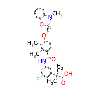 Cc1c(OC[C@@H]2CN(C)c3ccccc3O2)ccc(C(=O)Nc2cc(F)cc(C(C)(C)C(=O)O)c2)c1C